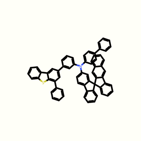 c1ccc(-c2ccc(N(c3cccc(-c4cc(-c5ccccc5)c5sc6ccccc6c5c4)c3)c3ccc4c(c3)C3(c5ccccc5-4)c4ccccc4-c4cc5ccccc5cc43)cc2)cc1